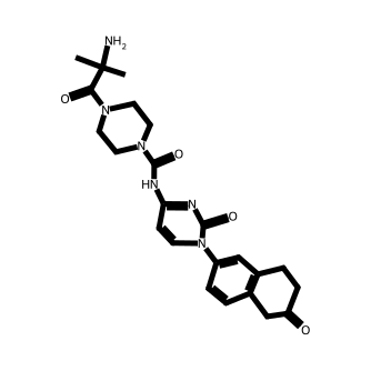 CC(C)(N)C(=O)N1CCN(C(=O)Nc2ccn(-c3ccc4c(c3)CCC(=O)C4)c(=O)n2)CC1